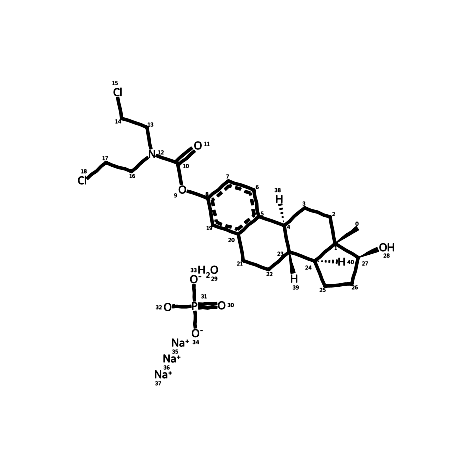 C[C@]12CC[C@@H]3c4ccc(OC(=O)N(CCCl)CCCl)cc4CC[C@H]3[C@@H]1CC[C@@H]2O.O.O=P([O-])([O-])[O-].[Na+].[Na+].[Na+]